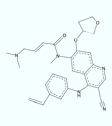 C=Cc1cccc(Nc2c(C#N)cnc3cc(OC4CCOC4)c(N(C)C(=O)/C=C/CN(C)C)cc23)c1